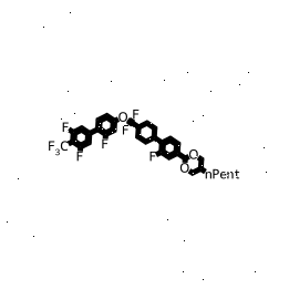 CCCCCC1COC(c2ccc(C3CCC(C(F)(F)Oc4ccc(-c5cc(F)c(C(F)(F)F)c(F)c5)c(F)c4)CC3)c(F)c2)OC1